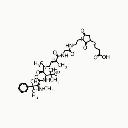 CN[C@H](C(=O)NC(C(=O)N(C)C/C=C(\C)C(=O)NCC(=O)NCCN1C(=O)CC(SCCC(=O)O)C1=O)C(C)(C)C)C(C)(C)c1ccccc1